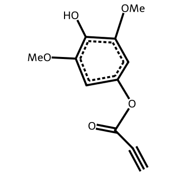 C#CC(=O)Oc1cc(OC)c(O)c(OC)c1